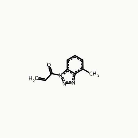 C=CC(=O)n1nnc2c(C)cccc21